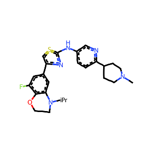 CC(C)N1CCOc2c(F)cc(-c3csc(Nc4ccc(C5CCN(C)CC5)nc4)n3)cc21